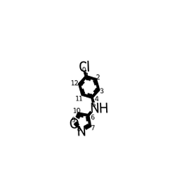 Clc1ccc(Nc2cnoc2)cc1